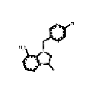 CC1CN(Cc2ccc(Cl)nc2)c2c([N+](=O)[O-])ccc[n+]21